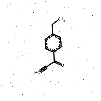 C#CC(=O)c1ccc(CC)cc1